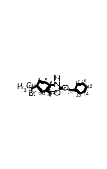 CC(Br)c1ccc(NC(=O)OCc2ccccc2)c(F)c1